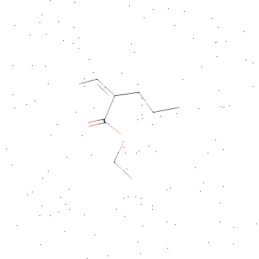 CC=C(CCC)C(=O)OCC